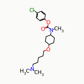 CN(C)CCCCCOC1CCC(N(C)C(=O)Oc2ccc(Cl)cc2)CC1